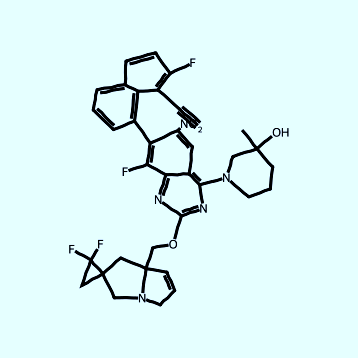 C#Cc1c(F)ccc2cccc(-c3c([N+](=O)[O-])cc4c(N5CCCC(C)(O)C5)nc(OCC56C=CCN5CC5(C6)CC5(F)F)nc4c3F)c12